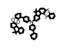 CC1(C)c2ccccc2-c2c1ccc1c2Oc2c(cccc2-c2ccc(N(c3ccc(-c4ccccc4)cc3)c3ccc4c(c3)C(C)(C)c3ccc5c(c3-4)Sc3ccccc3S5)cc2)O1